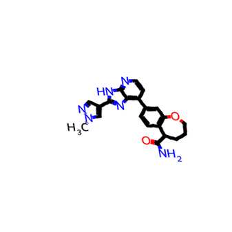 Cn1cc(-c2nc3c(-c4ccc5c(c4)OCCCC5C(N)=O)ccnc3[nH]2)cn1